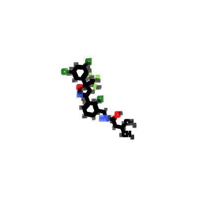 CC(C)CC(=O)NCc1cccc(C2=NOC(c3cc(Cl)cc(Cl)c3)(C(F)(F)F)C2)c1Cl